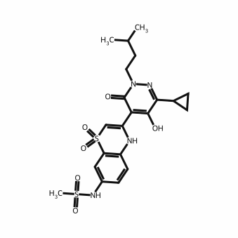 CC(C)CCn1nc(C2CC2)c(O)c(C2=CS(=O)(=O)c3cc(NS(C)(=O)=O)ccc3N2)c1=O